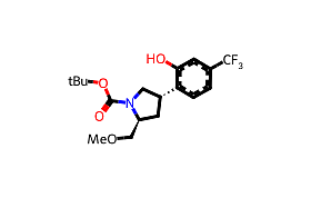 COC[C@@H]1C[C@@H](c2ccc(C(F)(F)F)cc2O)CN1C(=O)OC(C)(C)C